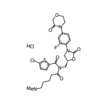 CNCCCCC(=O)N(C[C@H]1CN(c2ccc(N3CCOCC3=O)cc2F)C(=O)O1)C(=O)c1ccc(Cl)s1.Cl